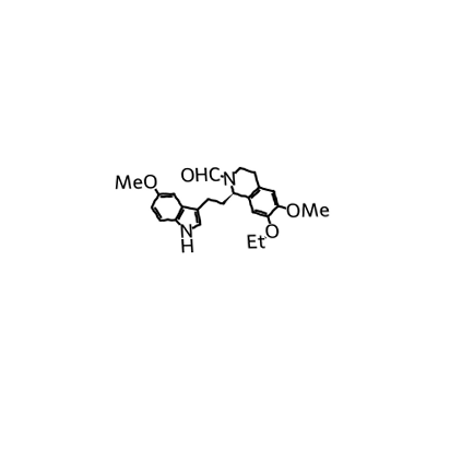 CCOc1cc2c(cc1OC)CCN(C=O)[C@@H]2CCc1c[nH]c2ccc(OC)cc12